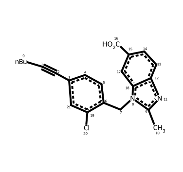 CCCCC#Cc1ccc(Cn2c(C)nc3ccc(C(=O)O)cc32)c(Cl)c1